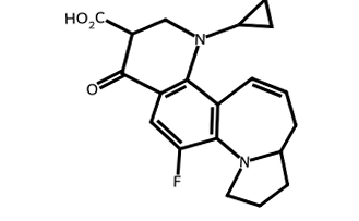 O=C(O)C1CN(C2CC2)c2c(cc(F)c3c2C=CCC2CCCN32)C1=O